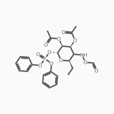 CC[C@H]1O[C@H](OP(=O)(Oc2ccccc2)Oc2ccccc2)[C@@H](OC(C)=O)[C@@H](OC(C)=O)C1NOC=O